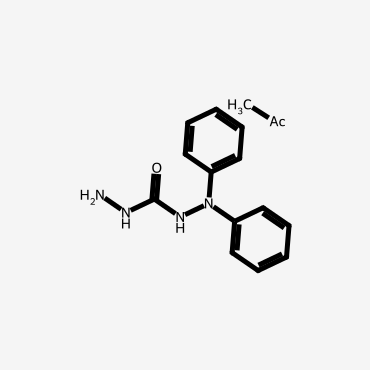 CC(C)=O.NNC(=O)NN(c1ccccc1)c1ccccc1